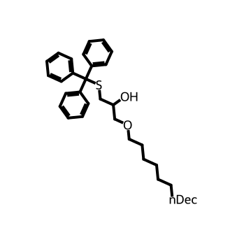 CCCCCCCCCCCCCCCCOCC(O)CSC(c1ccccc1)(c1ccccc1)c1ccccc1